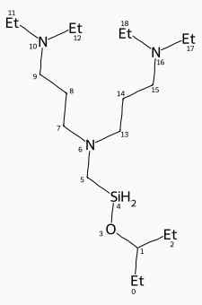 CCC(CC)O[SiH2]CN(CCCN(CC)CC)CCCN(CC)CC